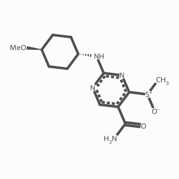 CO[C@H]1CC[C@H](Nc2ncc(C(N)=O)c([S+](C)[O-])n2)CC1